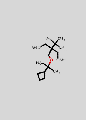 COCC(COC)(COC(C)(C)C1CCC1)C(C)(C)C(C)C